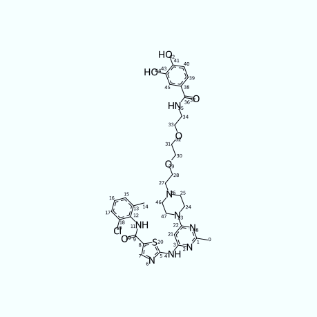 Cc1nc(Nc2ncc(C(=O)Nc3c(C)cccc3Cl)s2)cc(N2CCN(CCOCCOCCNC(=O)c3ccc(O)c(O)c3)CC2)n1